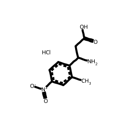 Cc1cc([N+](=O)[O-])ccc1C(N)CC(=O)O.Cl